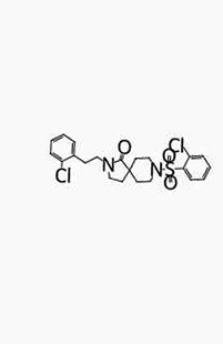 O=C1N(CCc2ccccc2Cl)CCC12CCN(S(=O)(=O)c1ccccc1Cl)CC2